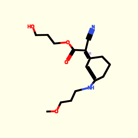 COCCCNC1=C/C(=C(/C#N)C(=O)OCCCO)CCC1